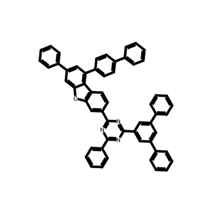 c1ccc(-c2ccc(-c3cc(-c4ccccc4)cc4oc5cc(-c6nc(-c7ccccc7)nc(-c7cc(-c8ccccc8)cc(-c8ccccc8)c7)n6)ccc5c34)cc2)cc1